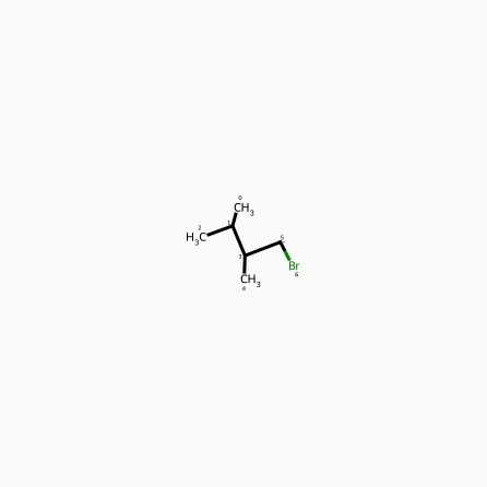 CC(C)C(C)[CH]Br